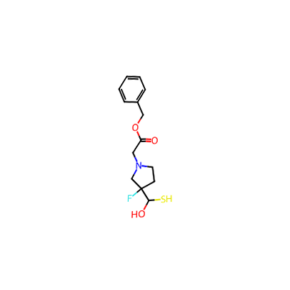 O=C(CN1CCC(F)(C(O)S)C1)OCc1ccccc1